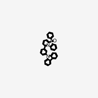 O=P(c1ccccc1)(c1ccccc1)c1cccc(-c2cccc(-n3c4ccccc4c4ccccc43)c2)n1